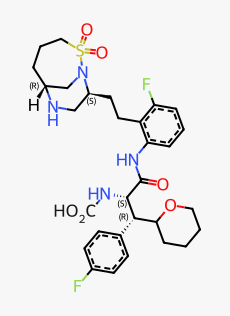 O=C(O)N[C@H](C(=O)Nc1cccc(F)c1CC[C@H]1CN[C@@H]2CCCS(=O)(=O)N1C2)[C@@H](c1ccc(F)cc1)C1CCCCO1